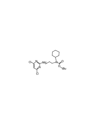 CC(C)(C)OC(=O)N(CCCNc1nc(Cl)cc(Cl)n1)C1CCCCC1